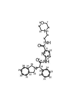 O=C(NCCN1CCOCC1)c1csc(NC(=O)[C@@H](c2ccccc2)N2Cc3ccccc3C2)n1